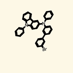 Brc1cccc(-c2cccc(N(c3ccccc3)c3ccc4c(c3)c3ccccc3n4-c3ccccc3)c2)c1